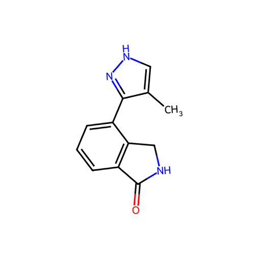 Cc1c[nH]nc1-c1cccc2c1CNC2=O